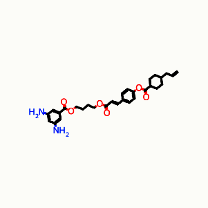 C=CCC1CCC(C(=O)Oc2ccc(C=CC(=O)OCCCCOC(=O)c3cc(N)cc(N)c3)cc2)CC1